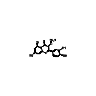 O=C1c2c(O)cc(O)cc2OC(c2ccc(O)c(O)c2)C1OS(=O)(=O)O